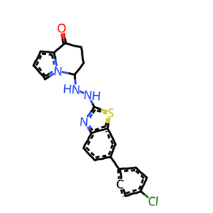 O=C1CCC(NNc2nc3ccc(-c4ccc(Cl)cc4)cc3s2)n2cccc21